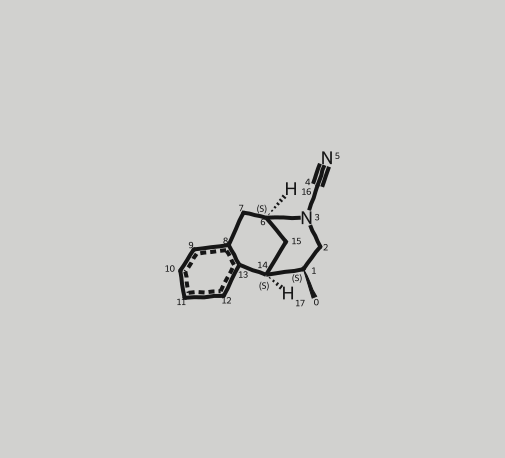 C[C@@H]1CN(C#N)[C@@H]2Cc3ccccc3[C@H]1C2